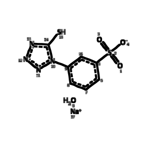 O.O=S(=O)([O-])c1cccc(-n2nnnc2S)c1.[Na+]